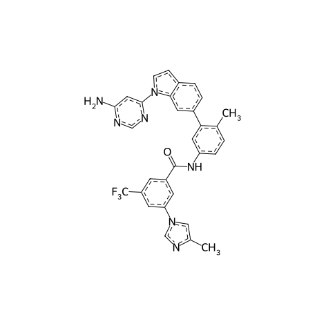 Cc1cn(-c2cc(C(=O)Nc3ccc(C)c(-c4ccc5ccn(-c6cc(N)ncn6)c5c4)c3)cc(C(F)(F)F)c2)cn1